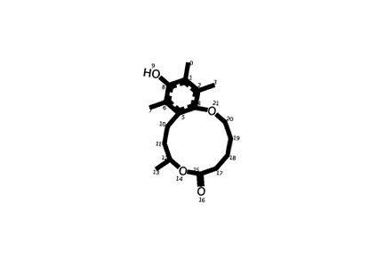 Cc1c(C)c2c(c(C)c1O)CCC(C)OC(=O)CCCCO2